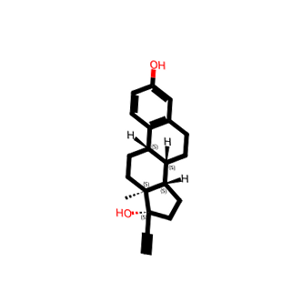 C#C[C@]1(O)CC[C@H]2[C@H]3CCc4cc(O)ccc4[C@H]3CC[C@@]21C